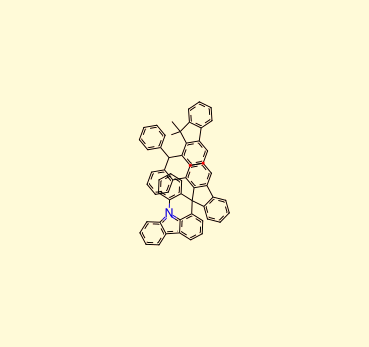 CC1(C)c2ccccc2-c2cccc(C(c3ccccc3)c3ccccc3-c3cccc4c3C3(c5ccccc5-4)c4ccccc4-n4c5ccccc5c5cccc3c54)c21